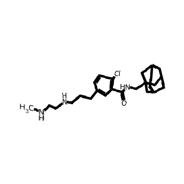 CNCCNCCCc1ccc(Cl)c(C(=O)NCC23CC4CC(CC(C4)C2)C3)c1